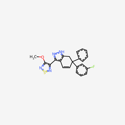 COc1nsnc1-c1n[nH]c2c1C=CC(c1ccccc1)(c1cccc(F)c1)C2